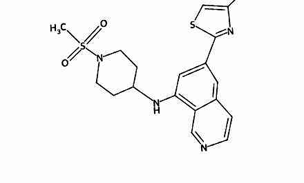 Cc1csc(-c2cc(NC3CCN(S(C)(=O)=O)CC3)c3cnccc3c2)n1